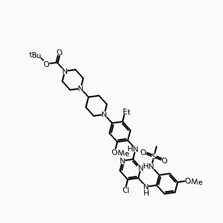 CCc1cc(Nc2ncc(Cl)c(Nc3ccc(OC)cc3NS(C)(=O)=O)n2)c(OC)cc1N1CCC(N2CCN(C(=O)OC(C)(C)C)CC2)CC1